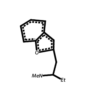 CCC(Cc1cc2ccccc2o1)NC